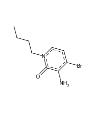 CCCCn1ccc(Br)c(N)c1=O